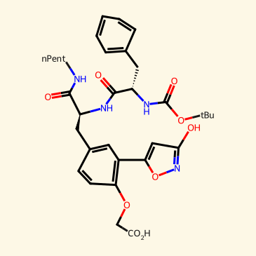 CCCCCNC(=O)[C@H](Cc1ccc(OCC(=O)O)c(-c2cc(O)no2)c1)NC(=O)[C@H](Cc1ccccc1)NC(=O)OC(C)(C)C